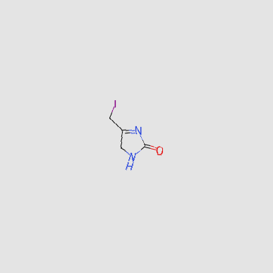 O=C1N=C(CI)CN1